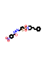 O=C(N=[N+]=NCc1ccc(S(=O)(=O)N2CCC(CCc3ccccc3)CC2)s1)c1ccc([N+](=O)[O-])cc1